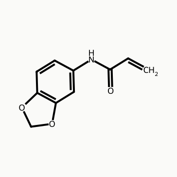 C=CC(=O)Nc1ccc2c(c1)OCO2